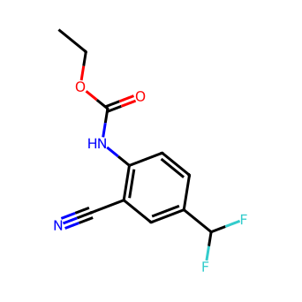 CCOC(=O)Nc1ccc(C(F)F)cc1C#N